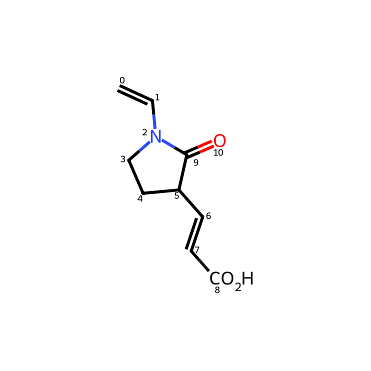 C=CN1CCC(C=CC(=O)O)C1=O